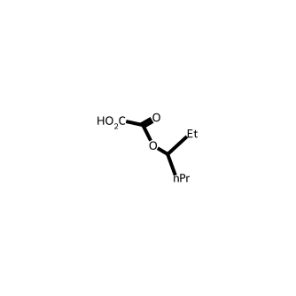 CCCC(CC)OC(=O)C(=O)O